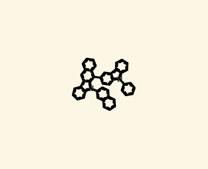 c1ccc(-n2c3ccccc3c3cc(-c4c5ccccc5cc5c6ccccc6n(-c6ccc7ccccc7c6)c45)ccc32)cc1